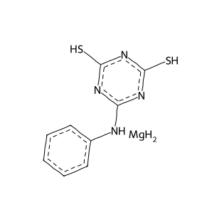 Sc1nc(S)nc(Nc2ccccc2)n1.[MgH2]